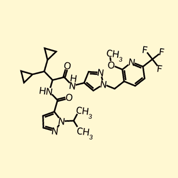 COc1nc(C(F)(F)F)ccc1Cn1cc(NC(=O)C(NC(=O)c2ccnn2C(C)C)C(C2CC2)C2CC2)cn1